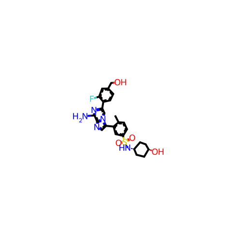 Cc1ccc(S(=O)(=O)N[C@H]2CC[C@H](O)CC2)cc1-c1cnc2c(N)nc(-c3ccc(CO)cc3F)cn12